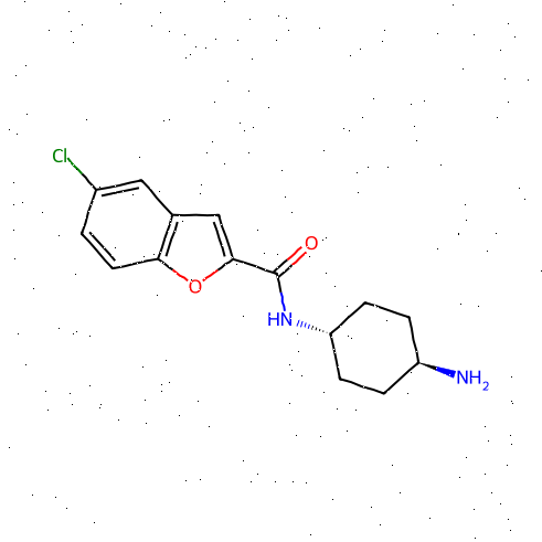 N[C@H]1CC[C@H](NC(=O)c2cc3cc(Cl)ccc3o2)CC1